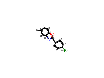 Cc1ccc2oc(-c3ccc(Br)cc3)nc2c1